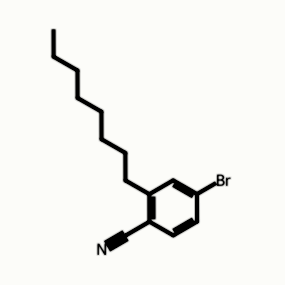 CCCCCCCCc1cc(Br)ccc1C#N